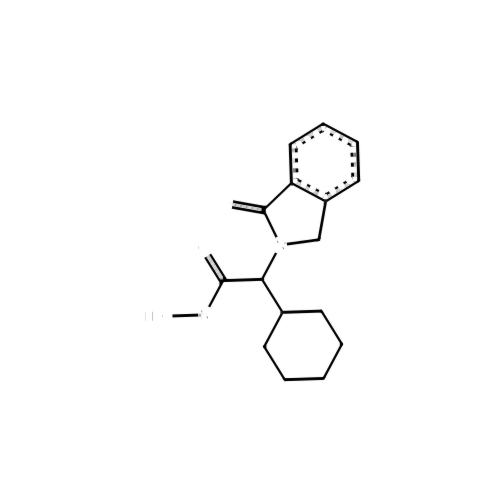 CNC(=O)C(C1CCCCC1)N1Cc2ccccc2C1=O